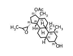 CC(=O)O[C@H]1C[C@@H](C2OC2C)[C@H]2[C@@H]3CC[C@H]4C[C@H](O)C[C@H](C)[C@]4(C)[C@H]3CC[C@@]21C